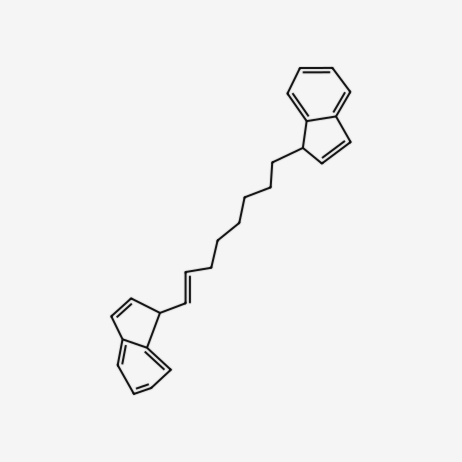 C(=CC1C=Cc2ccccc21)CCCCCCC1C=Cc2ccccc21